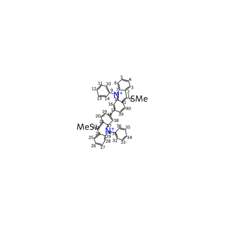 CSc1c2ccccc2[n+](-c2ccccc2)c2cc(-c3ccc4c(SC)c5ccccc5[n+](-c5ccccc5)c4c3)ccc12